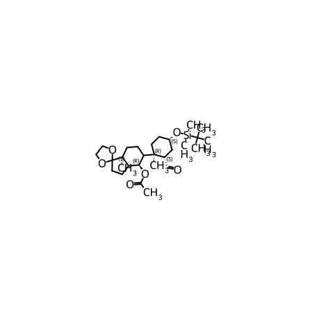 CC(=O)O[C@H]1C2CCC3(OCCO3)[C@@]2(C)CCC1[C@@]1(C)CC[C@H](O[Si](C)(C)C(C)(C)C)C[C@@H]1C=O